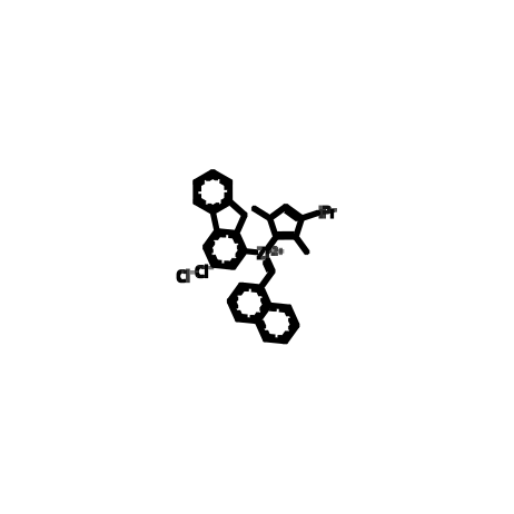 CC1=[C](/[Zr+2](=[CH]/c2cccc3ccccc23)[c]2cccc3c2Cc2ccccc2-3)C(C)C=C1C(C)C.[Cl-].[Cl-]